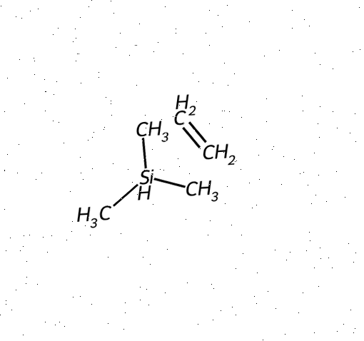 C=C.C[SiH](C)C